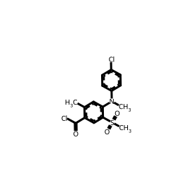 Cc1cc(N(C)c2ccc(Cl)cc2)c(S(C)(=O)=O)cc1C(=O)Cl